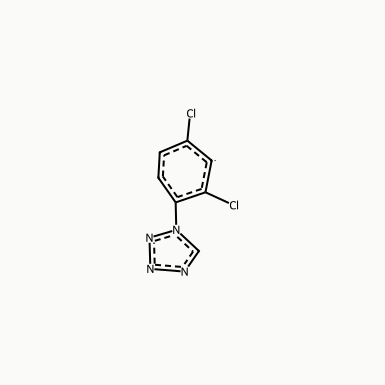 Clc1[c]c(Cl)c(-n2cnnn2)cc1